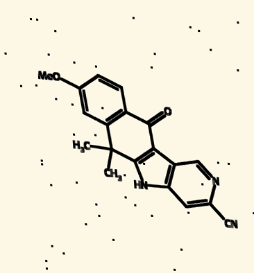 COc1ccc2c(c1)C(C)(C)c1[nH]c3cc(C#N)ncc3c1C2=O